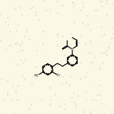 C=C(C)N(/C=C\C)c1cccc(CCc2ccc(C#N)cc2CC)c1